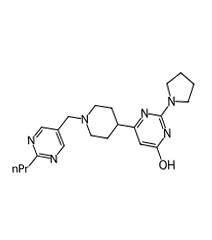 CCCc1ncc(CN2CCC(c3cc(O)nc(N4CCCC4)n3)CC2)cn1